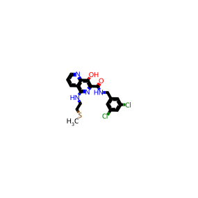 CSCCNc1nc(C(=O)NCc2cc(Cl)cc(Cl)c2)c(O)c2ncccc12